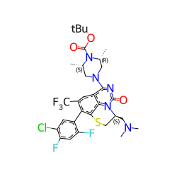 C[C@@H]1CN(c2nc(=O)n3c4c(c(-c5cc(Cl)c(F)cc5F)c(C(F)(F)F)cc24)SC[C@@H]3CN(C)C)C[C@H](C)N1C(=O)OC(C)(C)C